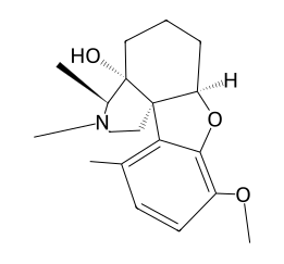 COc1ccc(C)c2c1O[C@@H]1CCC[C@]3(O)[C@H](C)N(C)CC[C@@]213